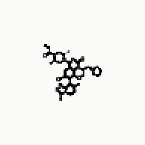 C=CC(=O)N1C[C@H](C)N(c2nc(=O)n3c4c(c(-c5c(C)ccc6[nH]nnc56)c(Cl)cc24)OCC3CN2CCCC2)C[C@H]1C